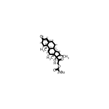 CCCCC(=O)OCC(=O)[C@@]1(O)[C@H](C)CC2C3CCC4=CC(=O)CC[C@]4(C)C3=CC[C@@]21C